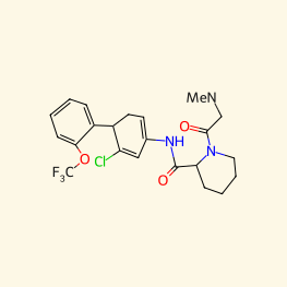 CNCC(=O)N1CCCCC1C(=O)NC1=CCC(c2ccccc2OC(F)(F)F)C(Cl)=C1